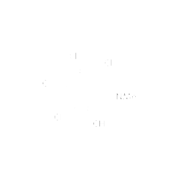 CNc1c(C)c(Cl)c(Cl)c(Cl)c1Cl